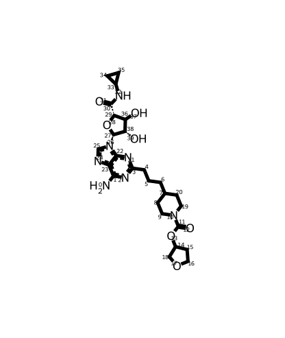 Nc1nc(CCCC2CCN(C(=O)OC3CCOC3)CC2)nc2c1ncn2[C@@H]1O[C@H](C(=O)NC2CC2)C(O)[C@@H]1O